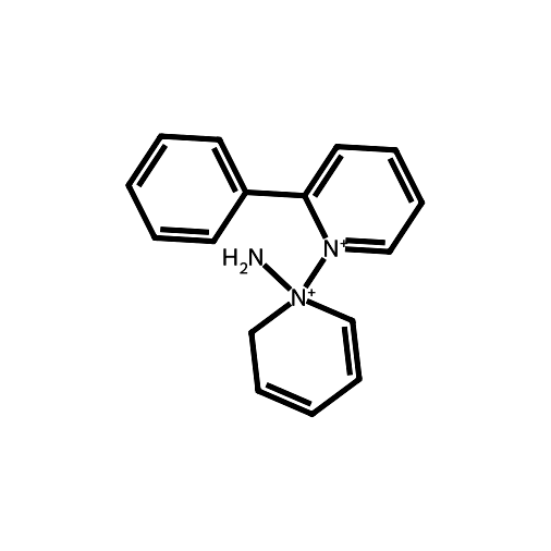 N[N+]1([n+]2ccccc2-c2ccccc2)C=CC=CC1